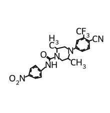 CC1CN(c2ccc(C#N)c(C(F)(F)F)c2)C(C)CN1C(=O)Nc1ccc([N+](=O)[O-])cc1